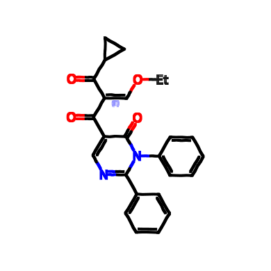 CCO/C=C(/C(=O)c1cnc(-c2ccccc2)n(-c2ccccc2)c1=O)C(=O)C1CC1